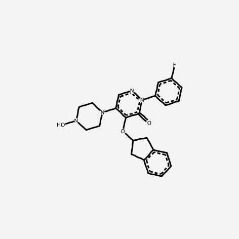 O=c1c(OC2Cc3ccccc3C2)c(N2CCN(O)CC2)cnn1-c1cccc(F)c1